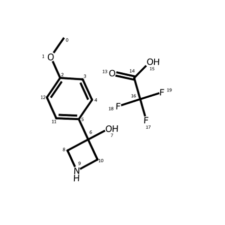 COc1ccc(C2(O)CNC2)cc1.O=C(O)C(F)(F)F